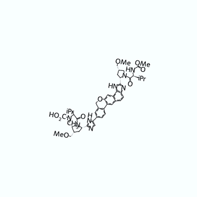 COC[C@H]1C[C@@H](c2nc3ccc4cc5c(cc4c3[nH]2)OCc2cc(-c3cnc([C@@H]4C[C@H](COC)CN4C(=O)[C@H](C(C)C)N(C)C(=O)O)[nH]3)ccc2-5)N(C(=O)[C@@H](NC(=O)OC)C(C)C)C1